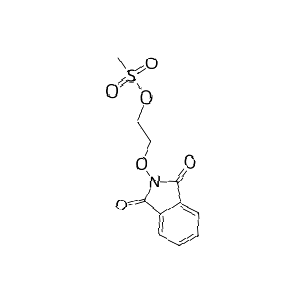 CS(=O)(=O)OCCON1C(=O)c2ccccc2C1=O